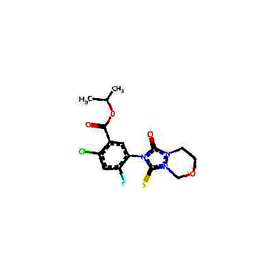 CC(C)OC(=O)c1cc(-n2c(=O)n3n(c2=S)COCC3)c(F)cc1Cl